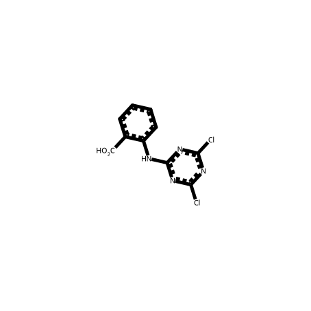 O=C(O)c1ccccc1Nc1nc(Cl)nc(Cl)n1